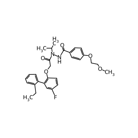 CCc1ccccc1-c1cc(F)ccc1OCC(=O)N(NC(=O)c1ccc(OCCOC)cc1)C(C)C